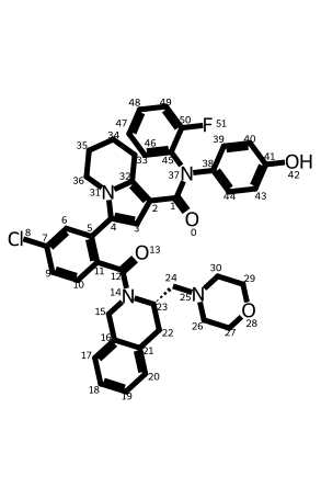 O=C(c1cc(-c2cc(Cl)ccc2C(=O)N2Cc3ccccc3C[C@H]2CN2CCOCC2)n2c1CCCC2)N(c1ccc(O)cc1)c1ccccc1F